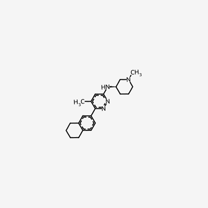 Cc1cc(N[C@@H]2CCCN(C)C2)nnc1-c1ccc2c(c1)CCCC2